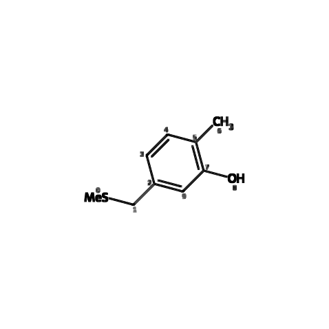 CSCc1ccc(C)c(O)c1